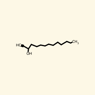 C#CC(O)CCCCCCCCCCC